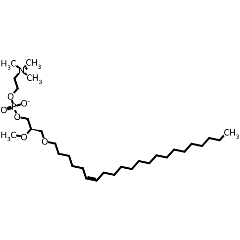 CCCCCCCCCCCCCCC/C=C\CCCCCOC[C@H](COP(=O)([O-])OCC[N+](C)(C)C)OC